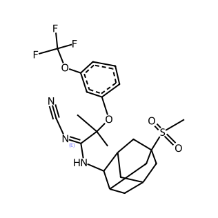 CC(C)(Oc1cccc(OC(F)(F)F)c1)/C(=N\C#N)NC1C2CC3CC1CC(S(C)(=O)=O)(C3)C2